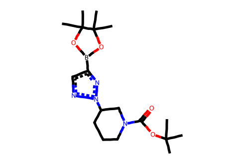 CC(C)(C)OC(=O)N1CCCC(n2ncc(B3OC(C)(C)C(C)(C)O3)n2)C1